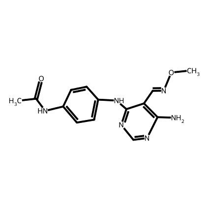 CON=Cc1c(N)ncnc1Nc1ccc(NC(C)=O)cc1